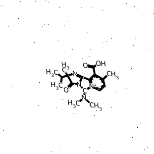 Cc1cc[n+]2c(c1C(=O)O)C1=NC(C)(C(C)C)C(=O)N1[C-]2N(C)C